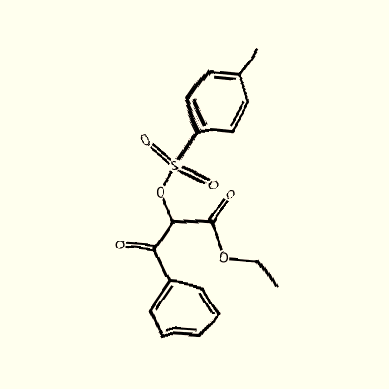 CCOC(=O)C(OS(=O)(=O)c1ccc(C)cc1)C(=O)c1ccccc1